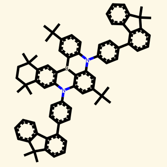 CC(C)(C)c1ccc2c(c1)B1c3cc4c(cc3N(c3ccc(-c5cccc6c5-c5ccccc5C6(C)C)cc3)c3cc(C(C)(C)C)cc(c31)N2c1ccc(-c2cccc3c2-c2ccccc2C3(C)C)cc1)C(C)(C)CCC4(C)C